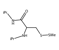 CSSCC(NC(C)C)C(=O)NC(C)C